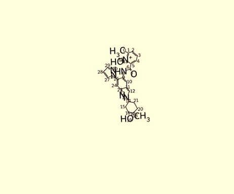 Cc1cccc(C(=O)Nc2cc3cn([C@H]4CC[C@](C)(O)CC4)nc3cc2-n2cccn2)[n+]1O